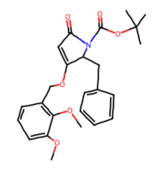 COc1cccc(COC2=CC(=O)N(C(=O)OC(C)(C)C)C2Cc2ccccc2)c1OC